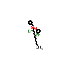 CCCCCCCC(Br)CCC(Br)C(OCc1ccccc1)Oc1ccccc1